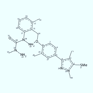 CSc1c(C)c(-c2ccc(OCc3c(C)cccc3N(N)C(=O)N(C)N)c(C)c2)nn1C